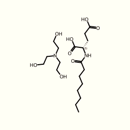 CCCCCCCC(=O)N[C@@H](CCC(=O)O)C(=O)O.OCCN(CCO)CCO